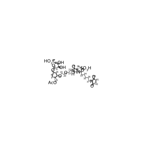 CC(=O)OCc1ccc(O[C@H]2C[C@@H](O)C(O)[C@@H](C(=O)O)O2)cc1OCCOCCNC(=O)[C@H](CS(=O)(=O)O)NC(=O)CCCCCN1C(=O)C=CC1=O